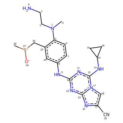 CN(CCN)c1ccc(Nc2nc(NC3CC3)n3cc(C#N)nc3n2)cc1C[S+](C)[O-]